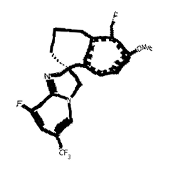 COc1ccc2c(c1F)CCC[C@@]21CN2C=C(C(F)(F)F)C=C(F)C2=N1